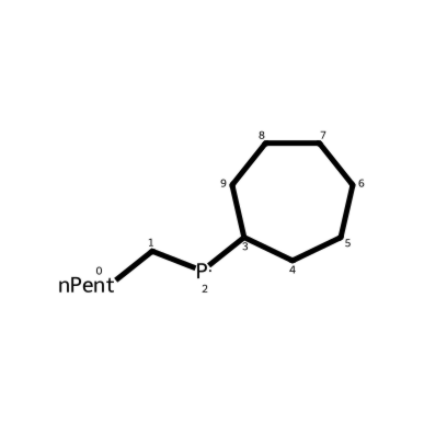 CCCCCC[P]C1CCCCCC1